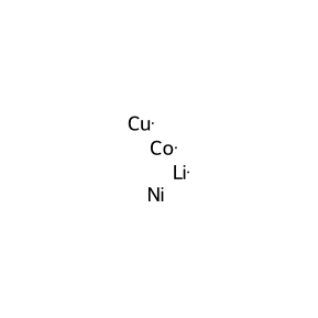 [Co].[Cu].[Li].[Ni]